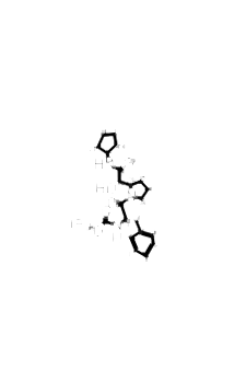 CC(C)(C)OC(=O)N[C@@H](Cc1ccccc1)C(=O)N1CCCC1C(O)C(=O)NC1CCCC1